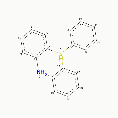 Nc1ccccc1[SH](c1ccccc1)c1ccccc1